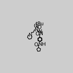 CC(C)(C)OC(=O)N(CCCN1CCCCC1)c1nnc(-c2ccc(NC(=O)C3CCCC3)cc2)o1